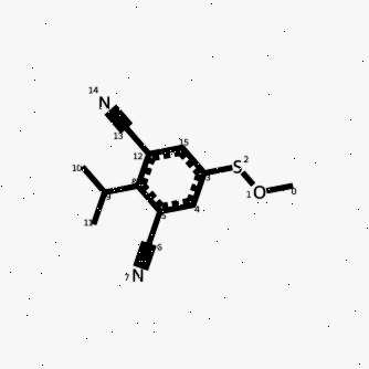 COSc1cc(C#N)c(C(C)C)c(C#N)c1